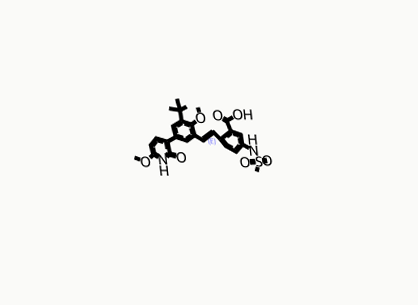 COc1ccc(-c2cc(/C=C/c3ccc(NS(C)(=O)=O)cc3C(=O)O)c(OC)c(C(C)(C)C)c2)c(=O)[nH]1